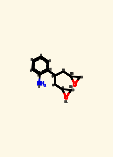 Nc1ccccc1[C](CC1CO1)CC1CO1